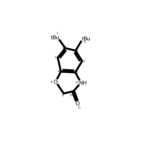 CC(C)(C)c1cc2c(cc1C(C)(C)C)OCC(=O)N2